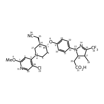 COc1cc(N2CC[C@@H](Oc3ccc(N4N=C(C(F)(F)F)C(C)C4CC(=O)O)cc3)[C@H](CC#N)C2)c(Cl)cn1